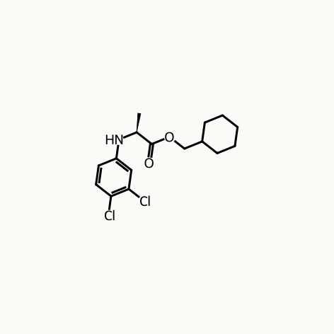 C[C@H](Nc1ccc(Cl)c(Cl)c1)C(=O)OCC1CCCCC1